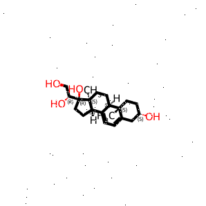 C[C@]12CC[C@@H]3C(=CC=C4C[C@@H](O)CC[C@]43C)[C@@H]1CC[C@]2(O)[C@H](O)CO